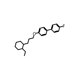 CCC1CCCCC1CCCOc1ccc(-c2ccc(F)cc2)cc1